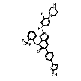 Cc1ccc(-c2ccc(-c3cc4cnc(Nc5ccc(N6CCNCC6)c(F)c5)nc4n(Cc4ccccc4C(F)(F)F)c3=O)cc2)s1